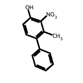 Cc1c(-c2ccccc2)ccc(O)c1[N+](=O)[O-]